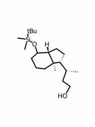 C[C@H](CCO)[C@H]1CC[C@H]2C(O[Si](C)(C)C(C)(C)C)CCC[C@]12C